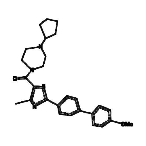 COc1ccc(-c2ccc(-c3nc(C)c(C(=O)N4CCN(C5CCCC5)CC4)s3)cc2)cc1